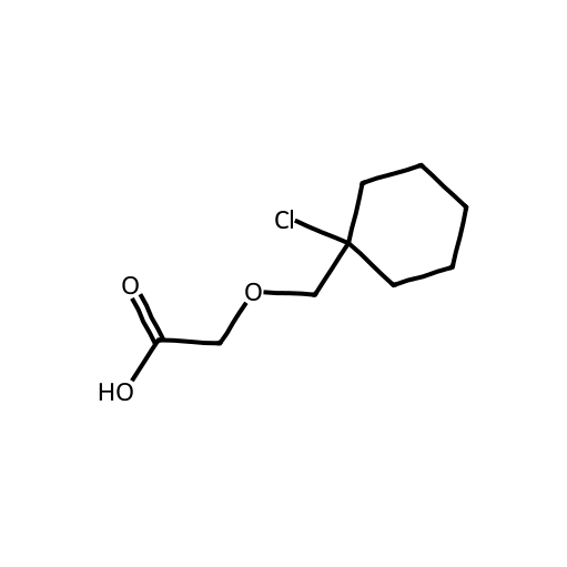 O=C(O)COCC1(Cl)CCCCC1